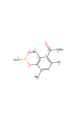 CCc1cc(C(C)(C)C)c(OP(O)OC(C)=O)c(C(C)(C)C)c1C(=O)OC